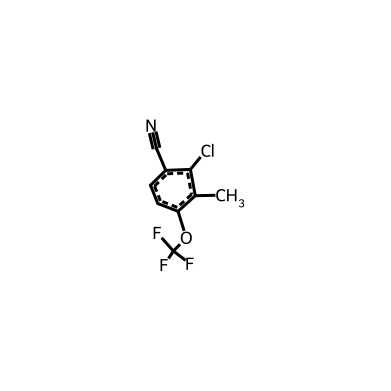 Cc1c(OC(F)(F)F)ccc(C#N)c1Cl